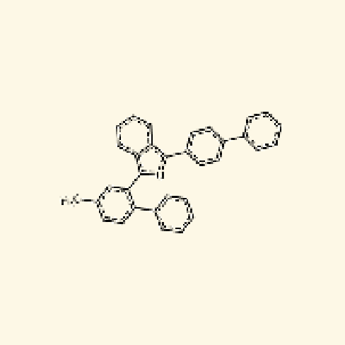 Cc1ccc(-c2ccccc2)c(-c2oc(-c3ccc(-c4ccccc4)cc3)c3ccccc23)c1